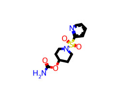 NC(=O)OC1CCN(S(=O)(=O)c2ccccn2)CC1